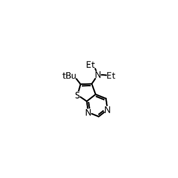 CCN(CC)c1c(C(C)(C)C)sc2ncncc12